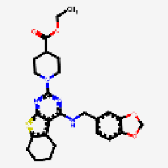 CCOC(=O)C1CCN(c2nc(NCc3ccc4c(c3)OCO4)c3c4c(sc3n2)CCCC4)CC1